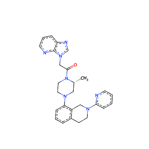 C[C@@H]1CN(c2cccc3c2CN(c2ccccn2)CC3)CCN1C(=O)Cn1cnc2cccnc21